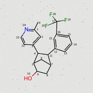 Cc1cc(C2C3CC(CC3O)C2c2cccc(C(F)(F)F)c2)ccn1